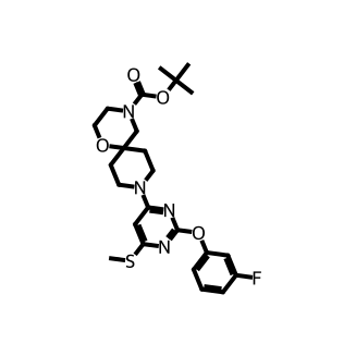 CSc1cc(N2CCC3(CC2)CN(C(=O)OC(C)(C)C)CCO3)nc(Oc2cccc(F)c2)n1